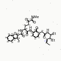 C/C=C\C(CC)C(CC)NC(=O)Cn1cccc(NC(=O)[C@H](CCC(=O)C(=O)NC)NC(=O)c2oc3ccccc3c2C)c1=O